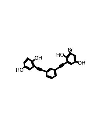 Oc1ccc(O)c(C#Cc2cccc(C#Cc3cc(O)cc(Br)c3O)c2)c1